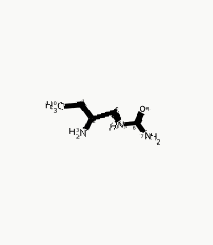 CCC(N)CNC(N)=O